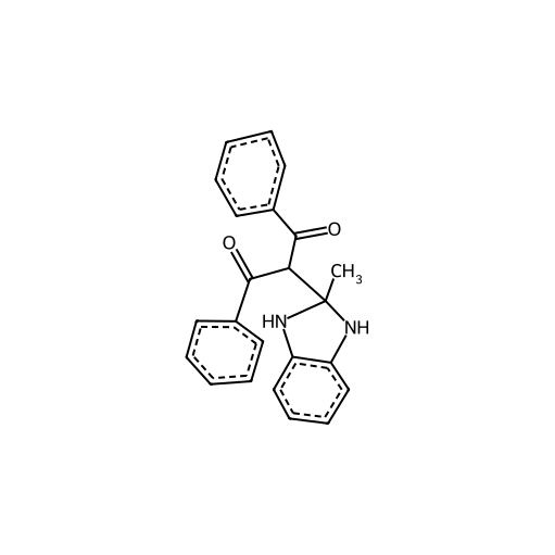 CC1(C(C(=O)c2ccccc2)C(=O)c2ccccc2)Nc2ccccc2N1